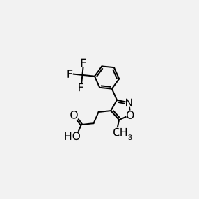 Cc1onc(-c2cccc(C(F)(F)F)c2)c1CCC(=O)O